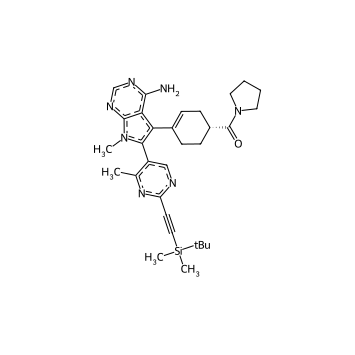 Cc1nc(C#C[Si](C)(C)C(C)(C)C)ncc1-c1c(C2=CC[C@H](C(=O)N3CCCC3)CC2)c2c(N)ncnc2n1C